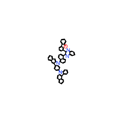 c1ccc2cc3c(cc2c1)c1ccc(-n2c4ccccc4c4c5ccccc5ccc42)cc1n3-c1cccc2c(-c3nc4ccccc4nc3-c3cccc4c3oc3ccccc34)cccc12